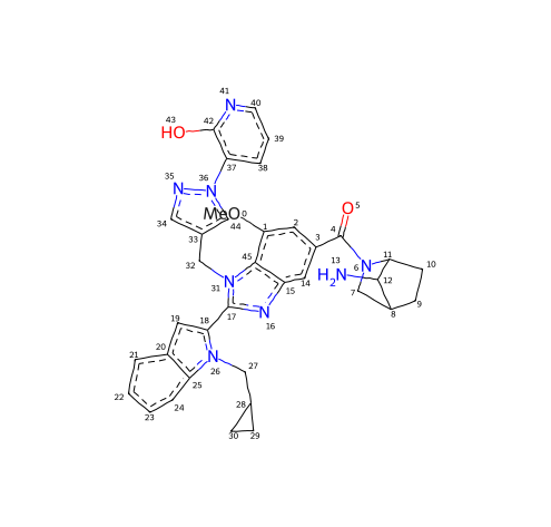 COc1cc(C(=O)N2CC3CCC2C3N)cc2nc(-c3cc4ccccc4n3CC3CC3)n(Cc3cnn(-c4cccnc4O)c3)c12